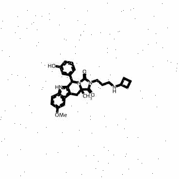 COc1ccc2[nH]c3c(c2c1)CC1(C)C(=O)N(CCCNC2CCC2)C(=O)N1C3c1cccc(O)c1